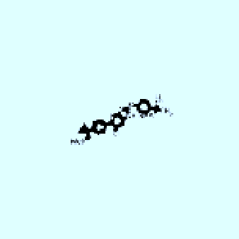 CNCC1(c2ccc(-c3nc4nc(OC5C=CC(C(C)(C)NC(C)=O)=CC5)[nH]c4cc3Cl)cc2)CC1